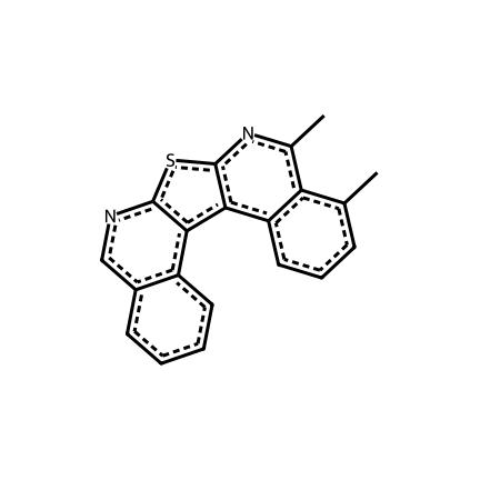 Cc1cccc2c1c(C)nc1sc3ncc4ccccc4c3c12